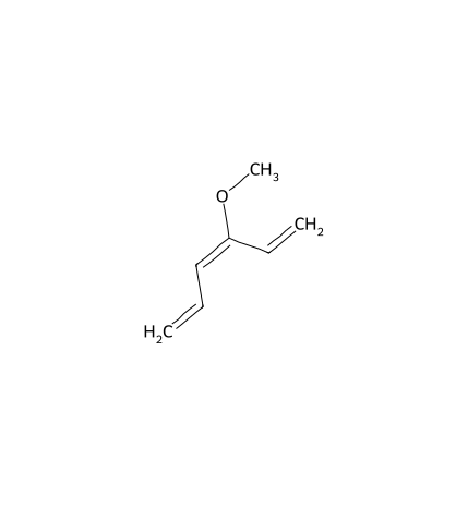 C=C/C=C(\C=C)OC